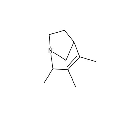 CC1=C(C)C(C)N2CCC1C2